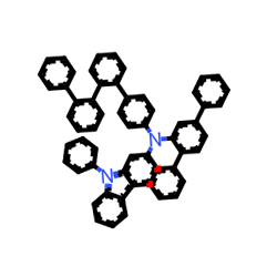 c1ccc(-c2ccc(-c3ccccc3)c(N(c3ccc(-c4ccccc4-c4ccccc4-c4ccccc4)cc3)c3ccc4c5ccccc5n(-c5ccccc5)c4c3)c2)cc1